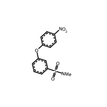 CNS(=O)(=O)c1cccc(Oc2ccc([N+](=O)[O-])cc2)c1